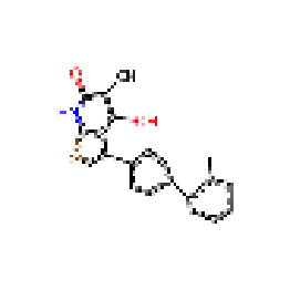 Cc1ccccc1-c1ccc(-c2csc3[nH]c(=O)c(C#N)c(O)c23)cc1